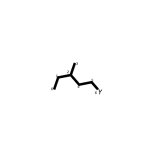 CCC(C)C[CH2][Y]